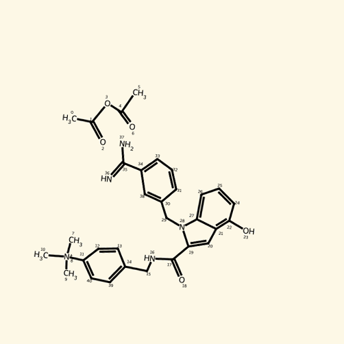 CC(=O)OC(C)=O.C[N+](C)(C)c1ccc(CNC(=O)c2cc3c(O)cccc3n2Cc2cccc(C(=N)N)c2)cc1